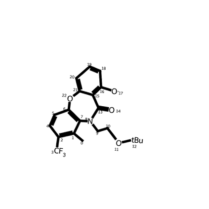 Cc1c(C(F)(F)F)ccc2c1N(CCOC(C)(C)C)C(=O)c1c([O])cccc1O2